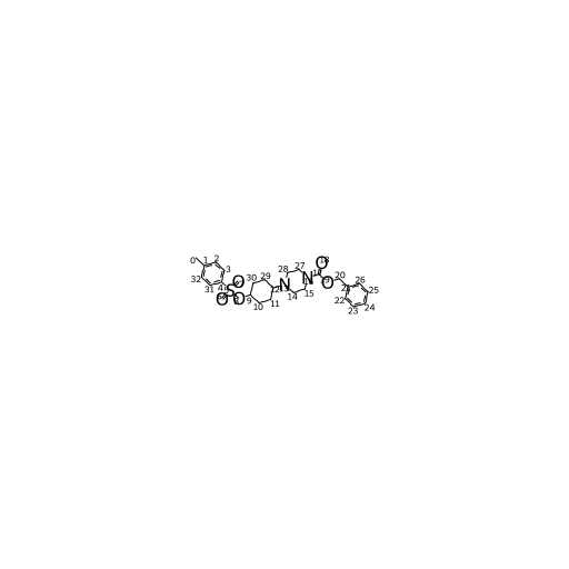 Cc1ccc(S(=O)(=O)OC2CCC(N3CCN(C(=O)OCc4ccccc4)CC3)CC2)cc1